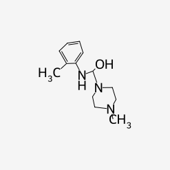 Cc1ccccc1NC(O)N1CCN(C)CC1